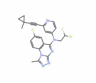 Cc1nnc2nc(N(CC(F)F)c3ccnc(C#CC4(C)CC4)c3)c3cc(F)ccc3n12